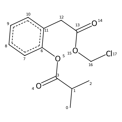 CC(C)C(=O)Oc1ccccc1CC(=O)OCCl